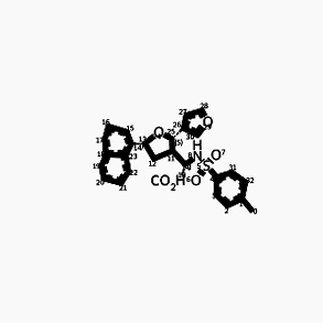 Cc1ccc(S(=O)(=O)N[C@H](C(=O)O)C2C[C@H](c3cccc4ccccc34)O[C@@H]2c2ccoc2)cc1